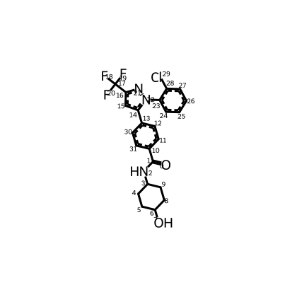 O=C(NC1CCC(O)CC1)c1ccc(-c2cc(C(F)(F)F)nn2-c2ccccc2Cl)cc1